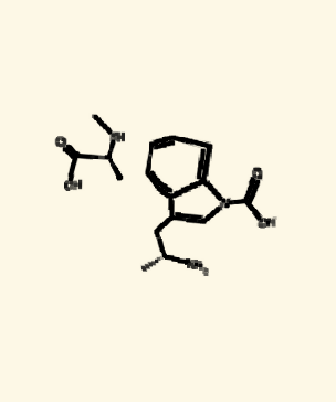 CN[C@@H](C)C(=O)O.C[C@@H](N)Cc1cn(C(=O)O)c2ccccc12